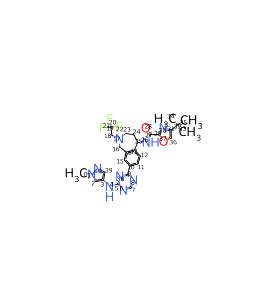 Cn1cc(Nc2ncnc(-c3ccc4c(c3)CN(CC(F)(F)F)CC[C@H]4NC(=O)c3nc(C(C)(C)C)co3)n2)cn1